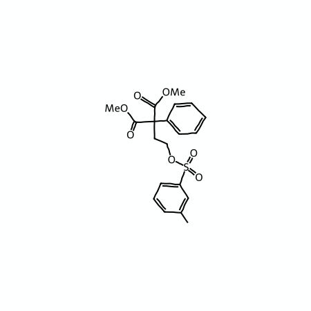 COC(=O)C(CCOS(=O)(=O)c1cccc(C)c1)(C(=O)OC)c1ccccc1